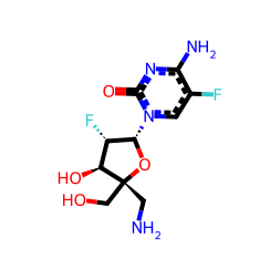 NC[C@]1(CO)O[C@@H](n2cc(F)c(N)nc2=O)[C@@H](F)[C@@H]1O